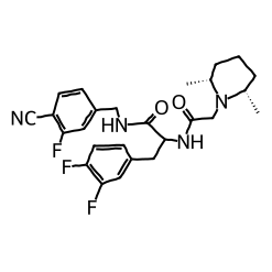 C[C@@H]1CCC[C@H](C)N1CC(=O)NC(Cc1ccc(F)c(F)c1)C(=O)NCc1ccc(C#N)c(F)c1